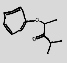 CC(C)C(=O)C(C)Oc1ccccc1